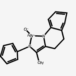 [O-][NH+]1N(c2ccccc2)C(O)=C2CCc3ccccc3N21